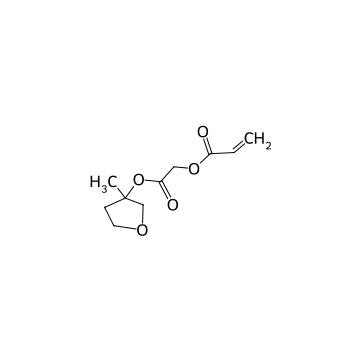 C=CC(=O)OCC(=O)OC1(C)CCOC1